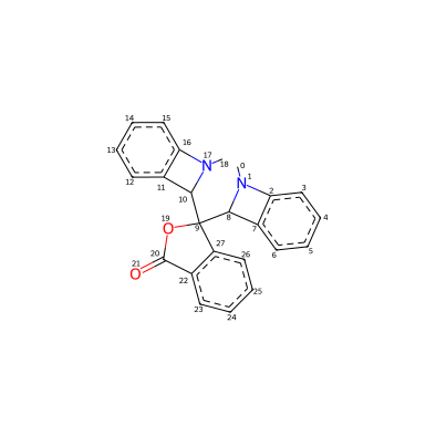 CN1c2ccccc2C1C1(C2c3ccccc3N2C)OC(=O)c2ccccc21